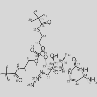 CC(C)(C)C(=O)SCCOP(=O)(OCCSC(=O)C(C)(C)C)OC[C@@]1(CN=[N+]=[N-])O[C@@H](N2C=CC(N)NC2=O)[C@H](F)[C@@H]1O